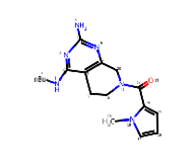 CCCCNc1nc(N)nc2c1CCN(C(=O)c1cccn1C)C2